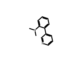 CN(C)c1ccccc1-c1[c]nccc1